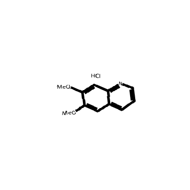 COc1cc2cccnc2cc1OC.Cl